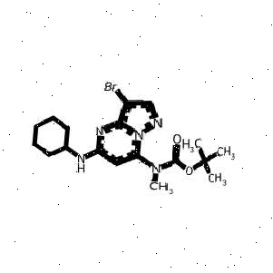 CN(C(=O)OC(C)(C)C)c1cc(NC2CCCCC2)nc2c(Br)cnn12